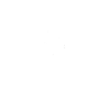 O=C(O)c1ccccc1C(=O)OO.O=C(OO)c1cccc(Cl)c1